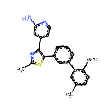 CC(=O)Nc1ccc(C)cc1-c1cccc(-c2sc(C)nc2-c2ccnc(N)c2)c1